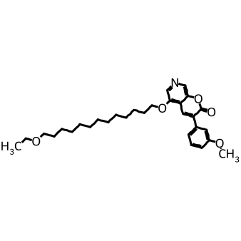 CCOCCCCCCCCCCCCCOc1cncc2oc(=O)c(-c3cccc(OC)c3)cc12